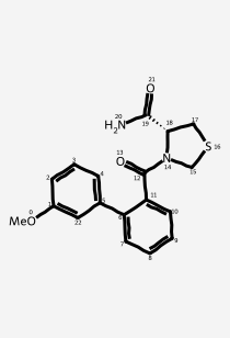 COc1cccc(-c2ccccc2C(=O)N2CSC[C@H]2C(N)=O)c1